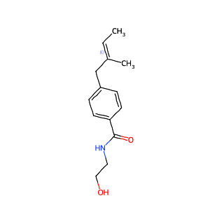 C/C=C(\C)Cc1ccc(C(=O)NCCO)cc1